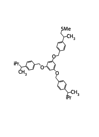 CSCC(C)c1ccc(COc2cc(OCc3ccc(C(C)C(C)C)cc3)cc(OCc3ccc(C(C)C(C)C)cc3)c2)cc1